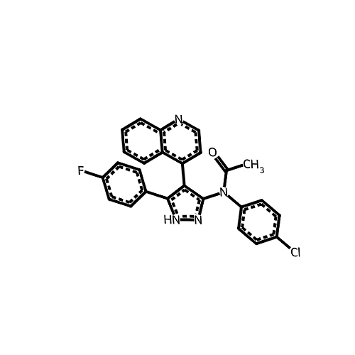 CC(=O)N(c1ccc(Cl)cc1)c1n[nH]c(-c2ccc(F)cc2)c1-c1ccnc2ccccc12